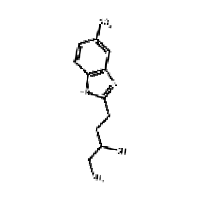 NCC(S)CCc1nc2cc([N+](=O)[O-])ccc2[nH]1